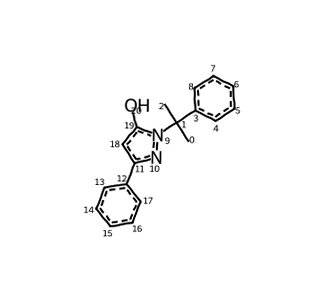 CC(C)(c1ccccc1)n1nc(-c2ccccc2)cc1O